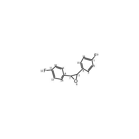 Fc1ccc(C2OC2c2ccc(F)cc2)cc1